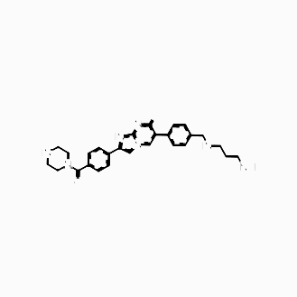 NCCCNCc1ccc(-c2cn3cc(-c4ccc(C(=O)N5CCNCC5)cc4)[nH]c3nc2=O)cc1